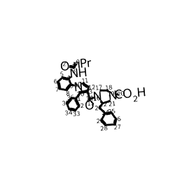 CCCC(=O)Nc1ccccc1-n1ccc(C(=O)N2CCN(C(=O)O)CC2Cc2ccccc2)c1-c1ccccc1